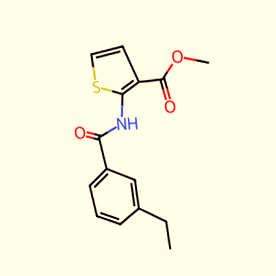 CCc1cccc(C(=O)Nc2sccc2C(=O)OC)c1